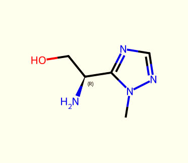 Cn1ncnc1[C@@H](N)CO